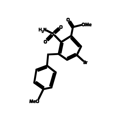 COC(=O)c1cc(Br)cc(Cc2ccc(OC)cc2)c1S(N)(=O)=O